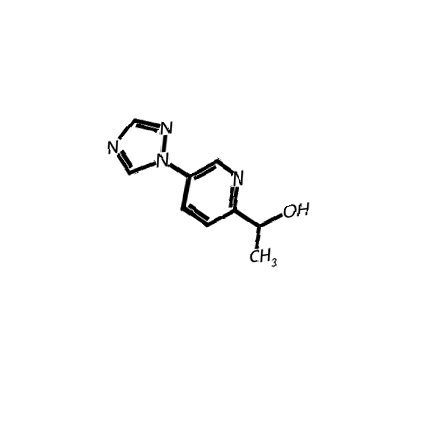 CC(O)c1ccc(-n2cncn2)cn1